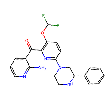 Nc1ncccc1C(=O)c1nc(N2CCNC(c3ccccc3)C2)ccc1OC(F)F